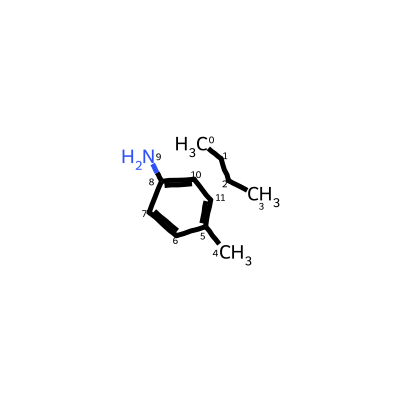 CCCC.Cc1ccc(N)cc1